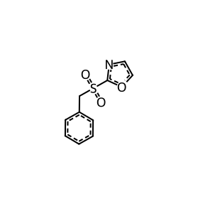 O=S(=O)(Cc1ccccc1)c1ncco1